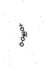 CC(C)(C)c1ccc(-c2nnc(-c3ccc(-c4ccccc4)cc3)s2)cc1